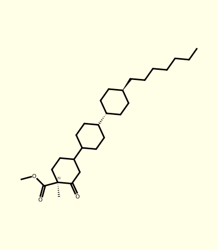 CCCCCCC[C@H]1CC[C@H](C2CCC(C3CC[C@](C)(C(=O)OC)C(=O)C3)CC2)CC1